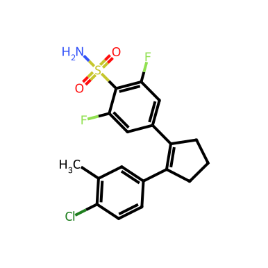 Cc1cc(C2=C(c3cc(F)c(S(N)(=O)=O)c(F)c3)CCC2)ccc1Cl